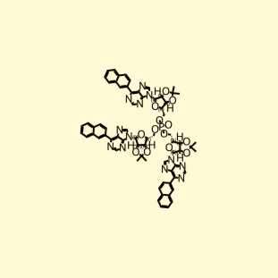 CC1(C)O[C@@H]2[C@H](O1)[C@@H](COP(=O)(OC[C@H]1O[C@@H](n3cnc4c(-c5ccc6ccccc6c5)ncnc43)[C@@H]3OC(C)(C)O[C@@H]31)OC[C@H]1O[C@@H](n3cnc4c(-c5ccc6ccccc6c5)ncnc43)[C@@H]3OC(C)(C)O[C@@H]31)O[C@H]2n1cnc2c(-c3ccc4ccccc4c3)ncnc21